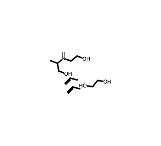 C=CC.C=CC.CC(CO)NCCO.OCCO